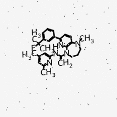 C=C(Nc1cc(C)cc(C)n1)N1CCCN(C)c2ccc(-c3cccc(C(C)(C)F)c3)nc21